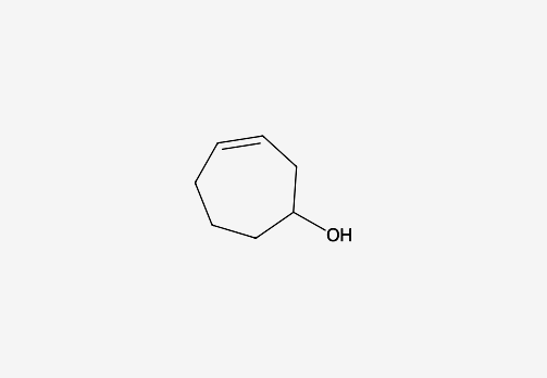 OC1CC=CCCC1